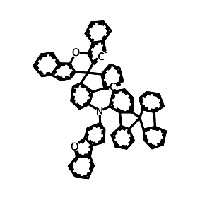 c1ccc2c(c1)-c1ccccc1C21c2ccccc2-c2c(N(c3ccc4c(c3)oc3ccccc34)c3cccc4c3-c3ccccc3C43c4ccc5ccccc5c4Oc4c3ccc3ccccc43)cccc21